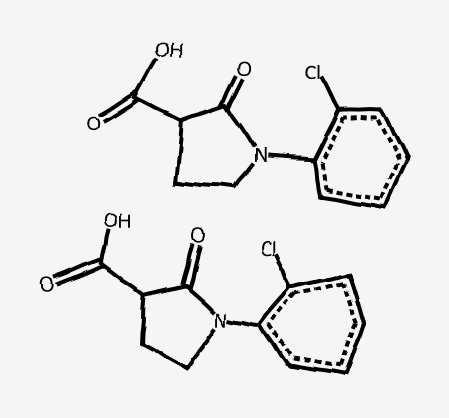 O=C(O)C1CCN(c2ccccc2Cl)C1=O.O=C(O)C1CCN(c2ccccc2Cl)C1=O